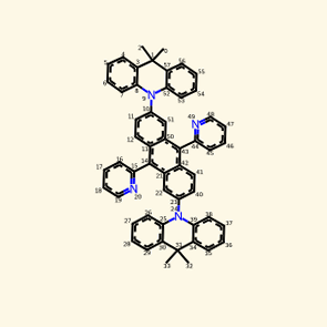 CC1(C)c2ccccc2N(c2ccc3c(-c4ccccn4)c4cc(N5c6ccccc6C(C)(C)c6ccccc65)ccc4c(-c4ccccn4)c3c2)c2ccccc21